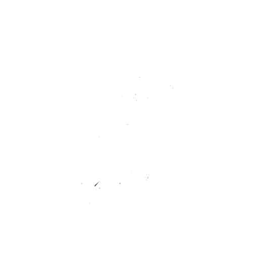 COC(=O)[C@H](C)[C@H](c1ccc2c(c1)OC1(CC2)CCN(c2cncc(C(F)(F)F)c2)CC1)C1CC1